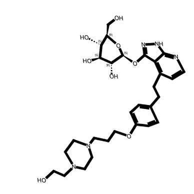 OCCN1CCN(CCCOc2ccc(CCc3ccnc4[nH]nc(O[C@@H]5O[C@H](CO)[C@@H](O)[C@H](O)[C@H]5O)c34)cc2)CC1